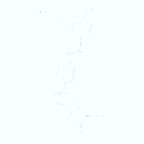 Cc1nc(NS(=O)(=O)c2ccc(/N=N/c3ccc(O)c(CCC(=O)O)c3)cc2)oc1C